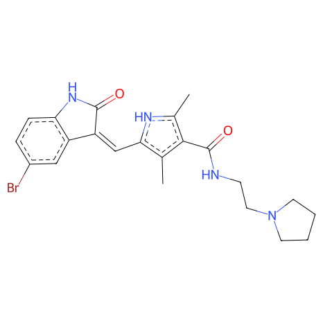 Cc1[nH]c(/C=C2\C(=O)Nc3ccc(Br)cc32)c(C)c1C(=O)NCCN1CCCC1